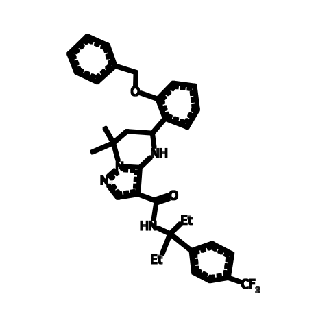 CCC(CC)(NC(=O)c1cnn2c1NC(c1ccccc1OCc1ccccc1)CC2(C)C)c1ccc(C(F)(F)F)cc1